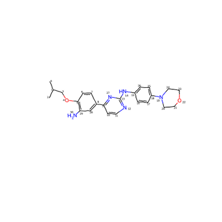 CC(C)COc1ccc(-c2ccnc(Nc3ccc(N4CCOCC4)cc3)n2)cc1N